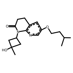 CC(C)CCOc1cnc2c(c1)CCC(=O)N2C1CC(C)(O)C1